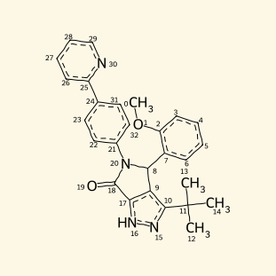 COc1ccccc1C1c2c(C(C)(C)C)n[nH]c2C(=O)N1c1ccc(-c2ccccn2)cc1